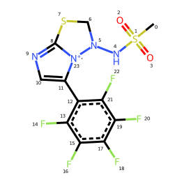 CS(=O)(=O)NN1CSC2=NC=C(c3c(F)c(F)c(F)c(F)c3F)[N+]21